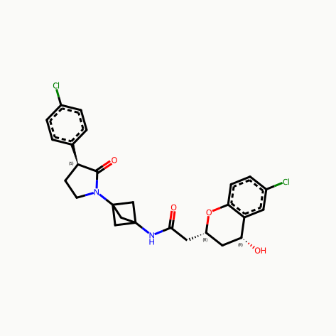 O=C(C[C@H]1C[C@@H](O)c2cc(Cl)ccc2O1)NC12CC(N3CC[C@@H](c4ccc(Cl)cc4)C3=O)(C1)C2